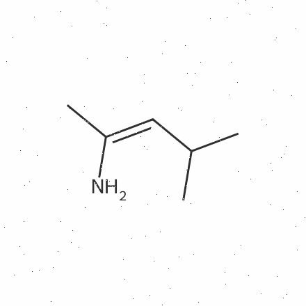 C/C(N)=C/C(C)C